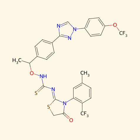 Cc1ccc(C(F)(F)F)c(N2C(=O)CS/C2=N\C(=S)NOC(C)c2ccc(-c3ncn(-c4ccc(OC(F)(F)F)cc4)n3)cc2)c1